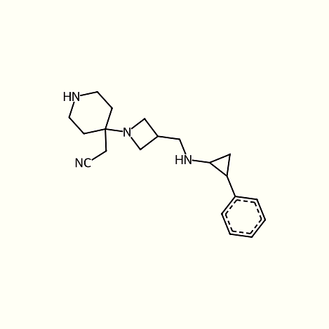 N#CCC1(N2CC(CNC3CC3c3ccccc3)C2)CCNCC1